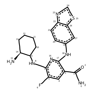 NC(=O)c1cc(F)c(NC2CCCC[C@@H]2N)nc1Nc1ccc2ncsc2c1